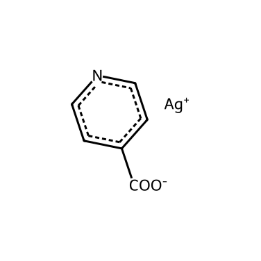 O=C([O-])c1ccncc1.[Ag+]